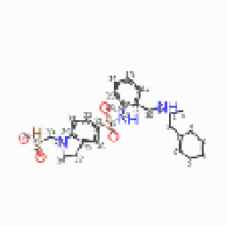 CC(CC1CCCCC1)NCc1ccccc1NS(=O)(=O)c1ccc2c(c1)CCN2C[SH](=O)=O